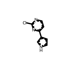 Clc1nccc(-c2cc[nH]c2)n1